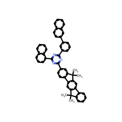 CC1(C)c2ccccc2-c2cc3c(cc21)-c1ccc(-c2nc(-c4cccc(-c5ccc6ccccc6c5)c4)nc(-c4cccc5ccccc45)n2)cc1C3(C)C